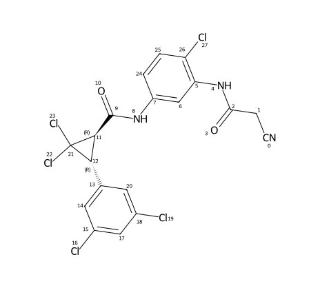 N#CCC(=O)Nc1cc(NC(=O)[C@H]2[C@H](c3cc(Cl)cc(Cl)c3)C2(Cl)Cl)ccc1Cl